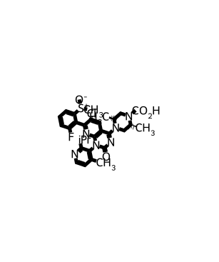 Cc1ccnc(C(C)C)c1-n1c(=O)nc(N2C[C@@H](C)N(C(=O)O)C[C@@H]2C)c2cc(Cl)c(-c3c(F)cccc3[S+](C)[O-])nc21